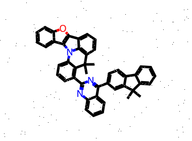 CC1(C)c2ccccc2-c2ccc(-c3nc(-c4cccc5c4C(C)(C)c4cccc6c7oc8ccccc8c7n-5c46)nc4ccccc34)cc21